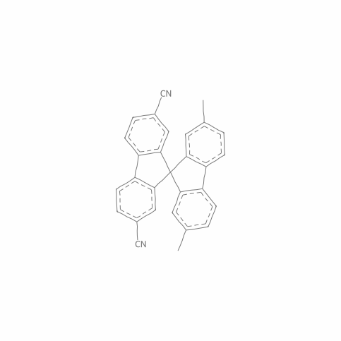 Cc1ccc2c(c1)C1(c3cc(C)ccc3-2)c2cc(C#N)ccc2-c2ccc(C#N)cc21